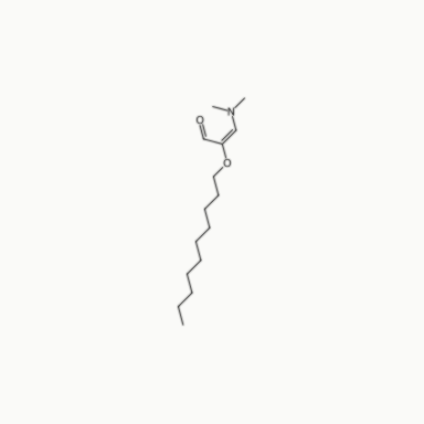 CCCCCCCCCCOC(C=O)=CN(C)C